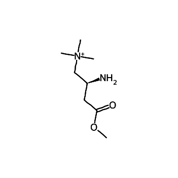 COC(=O)C[C@H](N)C[N+](C)(C)C